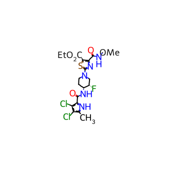 CCOC(=O)c1sc(N2CC[C@@H](NC(=O)c3[nH]c(C)c(Cl)c3Cl)[C@@H](F)C2)nc1C(=O)NOC